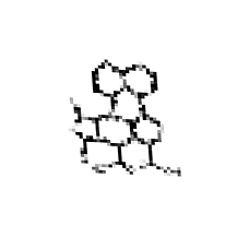 O=C(O)c1ccc2c3cccc4cccc(c43)c3c4c(=O)oc(=O)c4c(C(=O)O)c1c23